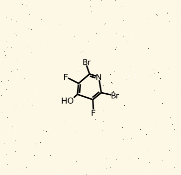 Oc1c(F)c(Br)nc(Br)c1F